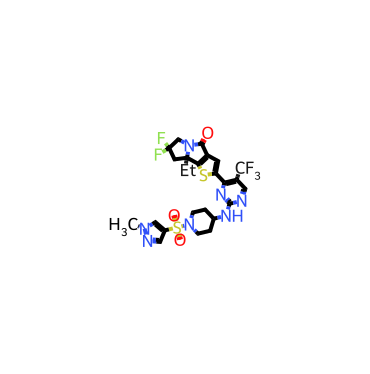 CCC12CC(F)(F)CN1C(=O)c1cc(-c3nc(NC4CCN(S(=O)(=O)c5cnn(C)c5)CC4)ncc3C(F)(F)F)sc12